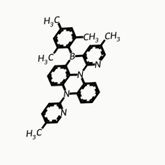 Cc1ccc(N2c3ccccc3N3c4ncc(C)cc4B(c4c(C)cc(C)cc4C)c4cccc2c43)nc1